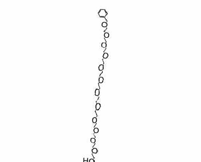 OCCOCCOCCOCCOCCOCCOCCOCCOCCOCCOCCOCCOCc1ccccc1